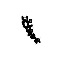 COC(=O)C12CCC(C3Oc4cc5c(c(C)c4O3)C(=O)NCC5)(CC1)CC2